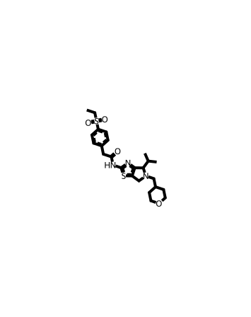 CCS(=O)(=O)c1ccc(CC(=O)Nc2nc3c(s2)CN(CC2CCOCC2)C3C(C)C)cc1